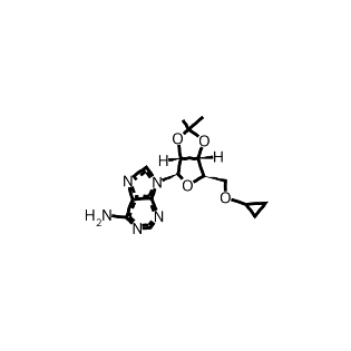 CC1(C)O[C@@H]2[C@H](O1)[C@@H](COC1CC1)O[C@H]2n1cnc2c(N)ncnc21